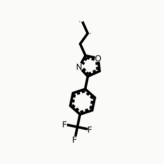 [CH2][CH]Cc1nc(-c2ccc(C(F)(F)F)cc2)co1